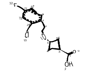 O=C(O)[C@H]1C[C@H](OCc2ccc(F)cc2Cl)C1